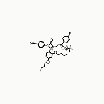 CCCCOc1ccc([C@@H]2[C@@H](CC[C@H](O[Si](C)(C)C(C)(C)C)c3ccc(F)cc3)C(=O)N2c2ccc(C#N)cc2)c(OCCCC)c1